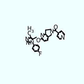 Cc1nnn(-c2ccc(F)cc2)c1COc1ccc2c(n1)CCN(C(=O)c1ccncc1)C2